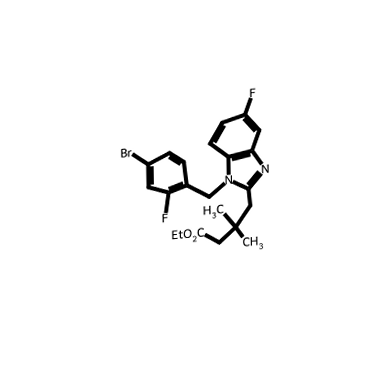 CCOC(=O)CC(C)(C)Cc1nc2cc(F)ccc2n1Cc1ccc(Br)cc1F